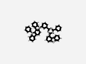 c1ccc(-c2nc(-c3cccc(-n4c5ccccc5c5c4ccc4c6ccccc6n(-c6ccccc6)c45)c3)nc(-c3cccc4oc5ccccc5c34)n2)cc1